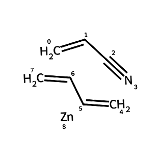 C=CC#N.C=CC=C.[Zn]